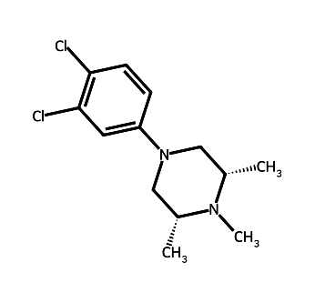 C[C@@H]1CN(c2ccc(Cl)c(Cl)c2)C[C@H](C)N1C